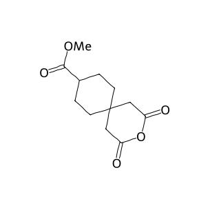 COC(=O)C1CCC2(CC1)CC(=O)OC(=O)C2